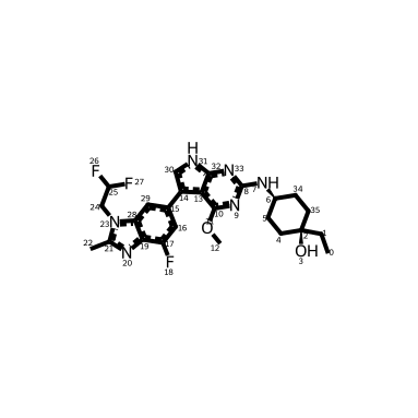 CC[C@]1(O)CC[C@@H](Nc2nc(OC)c3c(-c4cc(F)c5nc(C)n(CC(F)F)c5c4)c[nH]c3n2)CC1